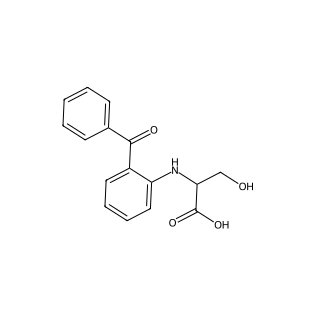 O=C(c1ccccc1)c1ccccc1NC(CO)C(=O)O